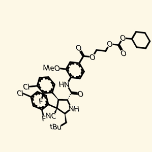 COc1cc(C(=O)OCCOC(=O)OC2CCCCC2)ccc1NC(=O)[C@@H]1N[C@@H](CC(C)(C)C)[C@](C#N)(c2ccc(Cl)cc2F)[C@H]1c1cccc(Cl)c1F